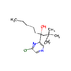 CCCCCC(O)(c1cncc(Cl)n1)C(C)(C)C